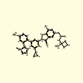 CN(Cc1cc(F)c2c(c1)C(=O)N(c1cc(-c3ccc(C#N)cc3-c3nncn3C)cc(C3CC3)n1)C2)CC1(O)CCC1